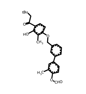 Cc1cc(-c2cccc(COc3ccc(C(=O)CC(C)(C)C)c(O)c3C)c2)ccc1OC=O